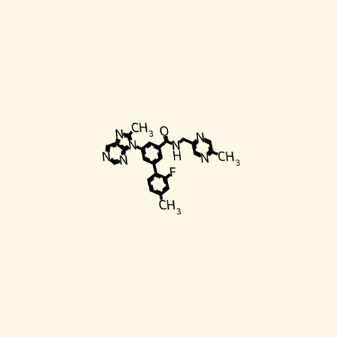 Cc1ccc(-c2cc(C(=O)NCc3cnc(C)cn3)cc(-n3c(C)nc4cncnc43)c2)c(F)c1